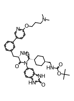 CN(C)CCCOc1ccc(-c2cccc(C[C@H](N)C(=O)N(c3ccc4[nH]c(=O)[nH]c4c3)C(=O)[C@H]3CC[C@H](CNC(=O)OC(C)(C)C)CC3)c2)cn1